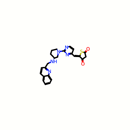 O=C1CC(=O)/C(=C/c2ccnc(N3CCC[C@@H](NCc4ccc5ccccc5n4)C3)n2)S1